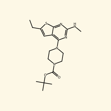 CCc1cc2c(N3CCN(C(=O)OC(C)(C)C)CC3)nc(NC)nc2s1